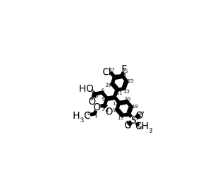 CCOC(=O)C(CC(=O)O)=C(c1ccc(S(C)(=O)=O)cc1)c1ccc(F)c(Cl)c1